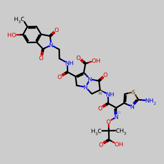 Cc1cc2c(cc1O)C(=O)N(CCNC(=O)C1=C(C(=O)O)N3C(=O)[C@@H](NC(=O)/C(=N\OC(C)(C)C(=O)O)c4csc(N)n4)CN3C1)C2=O